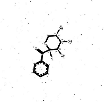 O=C(c1ccccc1)[C@]1(Cl)OC[C@@H](O)[C@@H](O)[C@H]1O